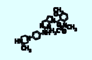 COc1cccc(N(C)S(C)(=O)=O)c1Cn1ccc2cnc(Nc3ccc(N4CCN[C@@H](C)C4)cc3)nc21